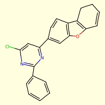 Clc1cc(-c2ccc3c4c(oc3c2)C=CCC4)nc(-c2ccccc2)n1